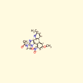 COc1ccc(-c2c(-c3cccc(C)n3)nc3n2CCN3C(C)=O)c([N+](=O)[O-])c1